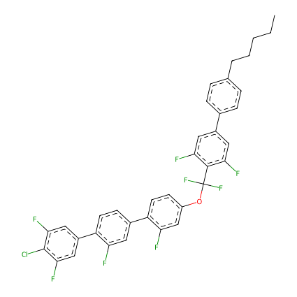 CCCCCc1ccc(-c2cc(F)c(C(F)(F)Oc3ccc(-c4ccc(-c5cc(F)c(Cl)c(F)c5)c(F)c4)c(F)c3)c(F)c2)cc1